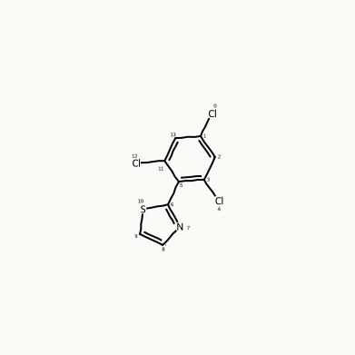 Clc1cc(Cl)c(-c2n[c]cs2)c(Cl)c1